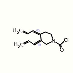 C=C/C=C1/CCN(C(=O)Cl)C/C1=C/C=C